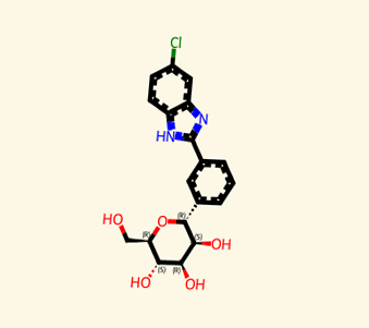 OC[C@H]1O[C@H](c2cccc(-c3nc4cc(Cl)ccc4[nH]3)c2)[C@@H](O)[C@@H](O)[C@@H]1O